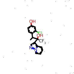 CC(c1ccc(O)cc1Cl)C(O)(c1cnn2ccccc12)C(F)(F)F